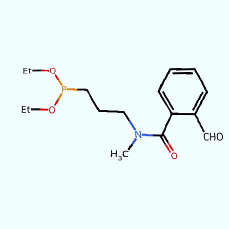 CCOP(CCCN(C)C(=O)c1ccccc1C=O)OCC